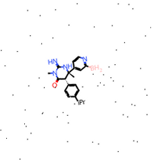 Bc1cc([C@@]2(C)NC(=N)N(C)C(=O)[C@H]2c2ccc(C(C)C)cc2)ccn1